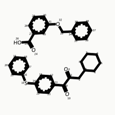 O=C(CC1CCCCC1)C(=O)c1ccc(Sc2ccccc2)cc1.O=C(O)c1cccc(OCc2ccccc2)c1